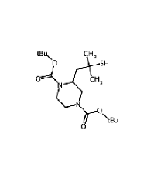 CC(C)(S)CC1CN(C(=O)OC(C)(C)C)CCN1C(=O)OC(C)(C)C